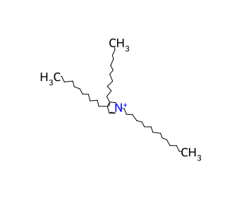 CCCCCCCCCCCCCCC[n+]1ccc(CCCCCCCCCCC)c(CCCCCCCCCCC)c1